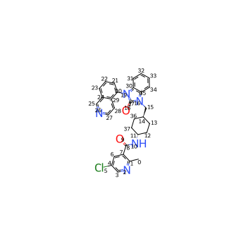 Cc1ncc(Cl)cc1C(=O)N[C@H]1CC[C@H](Cn2c(=O)n(-c3cccc4cnccc34)c3ccccc32)CC1